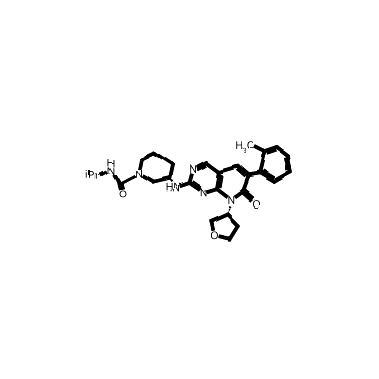 Cc1ccccc1-c1cc2cnc(N[C@H]3CCCN(C(=O)NC(C)C)C3)nc2n([C@@H]2CCOC2)c1=O